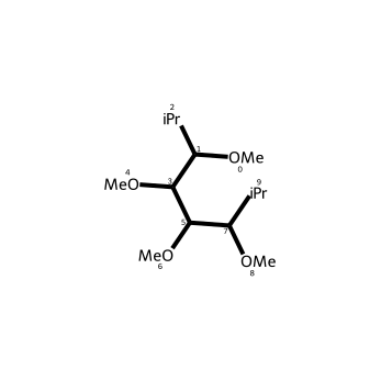 COC(C(C)C)C(OC)C(OC)C(OC)C(C)C